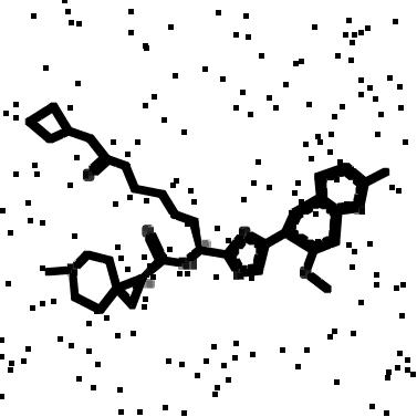 COc1cc2nc(C)ccc2cc1-c1cnc([C@H](CCCCCC(=O)CC2CCC2)NC(=O)[C@H]2CC23CCN(C)CC3)o1